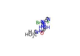 CN(CCNC(=O)[C@@H]1CC[C@@H](Nc2ncc3c(Br)nn(-c4cc(F)c5ncccc5c4)c3n2)C1)CC(=O)O